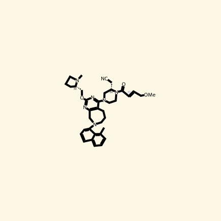 COC/C=C/C(=O)N1CCN(c2nc(OC[C@@H]3CCCN3C)nc3c2CCCN(c2cccc4cccc(C)c24)C3)C[C@@H]1CC#N